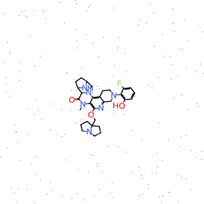 CN1C(=O)C2C3CCC(CN2c2c4c(nc(OCC56CCCN5CCC6)c21)CN(c1c(O)cccc1F)CC4)N3